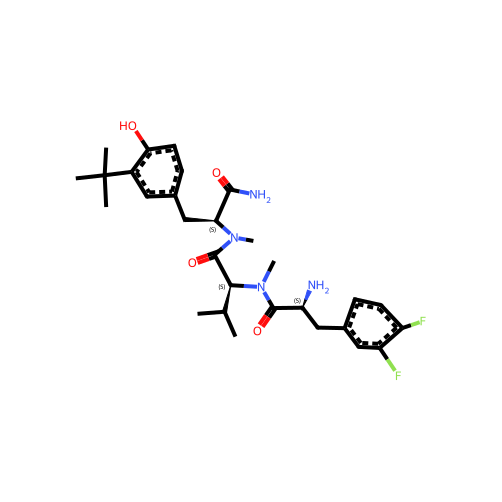 CC(C)[C@@H](C(=O)N(C)[C@@H](Cc1ccc(O)c(C(C)(C)C)c1)C(N)=O)N(C)C(=O)[C@@H](N)Cc1ccc(F)c(F)c1